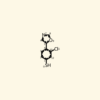 Sc1ccc(-c2cnco2)c(Cl)c1